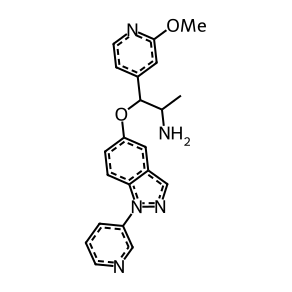 COc1cc(C(Oc2ccc3c(cnn3-c3cccnc3)c2)C(C)N)ccn1